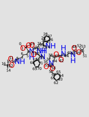 COC(=O)[C@H](CCCCNC(=O)OC(C)(C)C)NC(=O)[C@@H](Cc1c[nH]c2ccccc12)NC(=O)[C@@H](NC[C@@H]1C[C@@H](OC(=O)NCCNC(=O)OC(C)(C)C)CN1C(=O)OCc1ccccc1)c1ccccc1